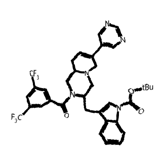 CC(C)(C)OC(=O)n1cc(CC2CN3CC(c4cncnc4)=CCC3CN2C(=O)c2cc(C(F)(F)F)cc(C(F)(F)F)c2)c2ccccc21